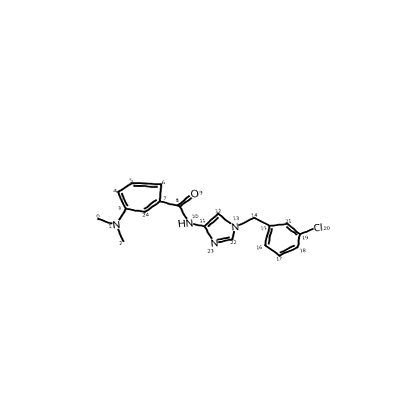 CN(C)c1cccc(C(=O)Nc2cn(Cc3cccc(Cl)c3)cn2)c1